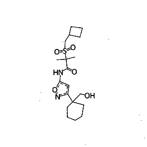 CC(C)(C(=O)Nc1cc(C2(CO)CCCCC2)no1)S(=O)(=O)CC1CCC1